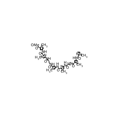 COC(=O)c1cc(NC(=O)c2nc(NC(=O)CCNC(=O)c3cc(NC(=O)c4nc(NC(=O)CCNC(=O)c5cc(NC(=O)c6nccn6C)cn5C)cn4C)cn3C)cn2C)cn1C